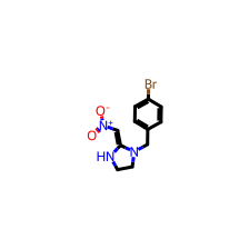 O=[N+]([O-])C=C1NCCN1Cc1ccc(Br)cc1